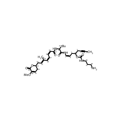 CC#CCC(C/C=C\NC(=O)C(NC(=O)\C=C/C=C\C(C)=C\CC1CC=C(OC)C(=O)O1)C(C)(C)C)OC(=O)NCCCN